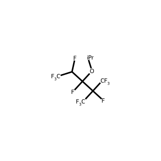 CC(C)OC(F)(C(F)C(F)(F)F)C(F)(C(F)(F)F)C(F)(F)F